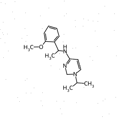 COc1ccccc1C(C)NC1=NCN(C(C)C)C=C1